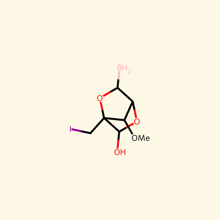 BC1OC2(CI)C(O)OC1C2OC